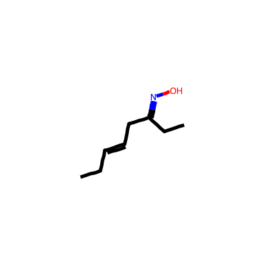 CC/C=C/C/C(CC)=N/O